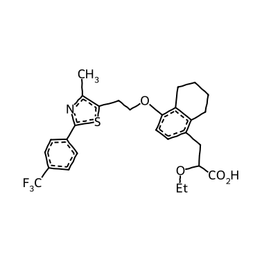 CCOC(Cc1ccc(OCCc2sc(-c3ccc(C(F)(F)F)cc3)nc2C)c2c1CCCC2)C(=O)O